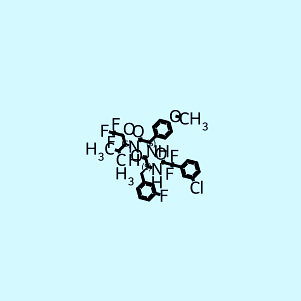 COc1ccc([C@H](NC(=O)[C@H](Cc2cccc(F)c2)NC(=O)C(F)(F)c2cccc(Cl)c2)C(=O)N[C@H](C(=O)C(F)(F)F)C(C)C)cc1